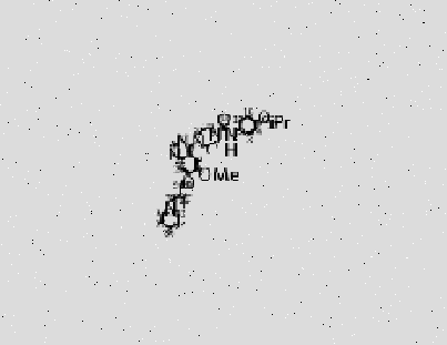 COc1cc2c(N3CCN(C(=O)Nc4ccc(OC(C)C)cc4)CC3)ncnc2cc1OCC(F)CN1CCCCC1